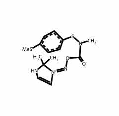 CSc1ccc(SN(C)C(=O)ON=[N+]2C=CNC2(C)C)cc1